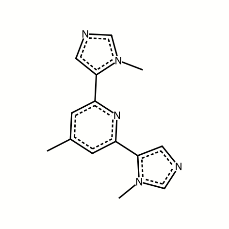 Cc1cc(-c2cncn2C)nc(-c2cncn2C)c1